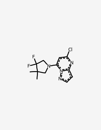 CC1(C)CN(c2cc(Cl)nc3ccnn23)CC1(F)F